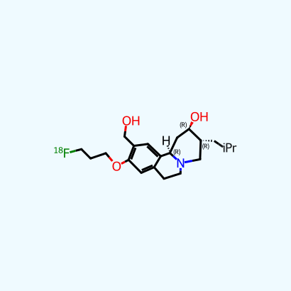 CC(C)C[C@@H]1CN2CCc3cc(OCCC[18F])c(CO)cc3[C@H]2C[C@H]1O